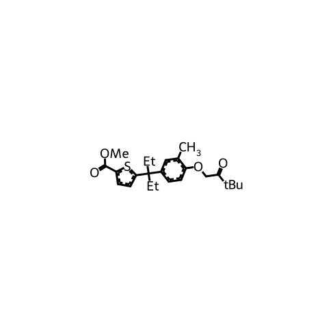 CCC(CC)(c1ccc(OCC(=O)C(C)(C)C)c(C)c1)c1ccc(C(=O)OC)s1